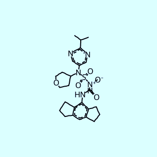 CC(C)c1ncc(N(C2CCOCC2)S(=O)(=O)[NH+]([O-])C(=O)Nc2c3c(cc4c2CCC4)CCC3)cn1